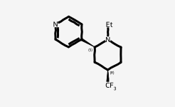 CCN1CC[C@@H](C(F)(F)F)C[C@H]1c1ccncc1